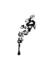 O=C(O)c1ccc2nc(CN3CCN(c4nccc(OCc5ccc(C#CC6CC6)cc5F)n4)CC3)n(C[C@@H]3CCO3)c2c1